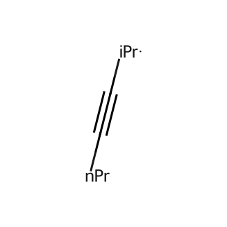 [CH2]CCC#C[C](C)C